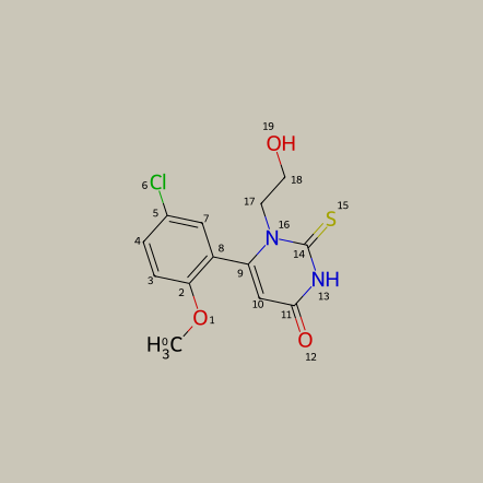 COc1ccc(Cl)cc1-c1cc(=O)[nH]c(=S)n1CCO